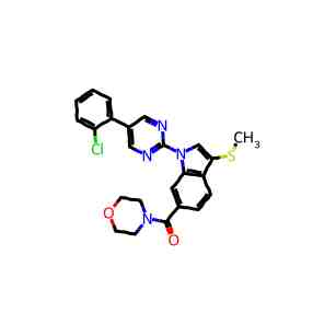 CSc1cn(-c2ncc(-c3ccccc3Cl)cn2)c2cc(C(=O)N3CCOCC3)ccc12